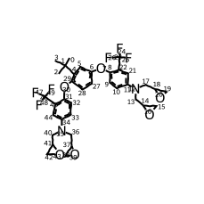 CC(C)(C)c1cc(Oc2ccc(N(CC3CO3)CC3CO3)cc2C(F)(F)F)ccc1Oc1ccc(N(CC2CO2)CC2CO2)cc1C(F)(F)F